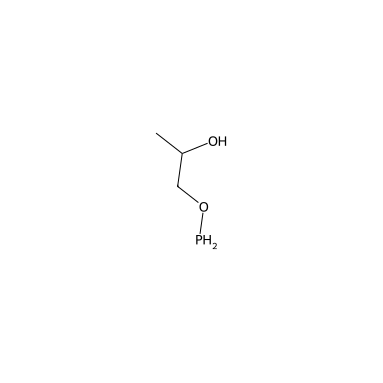 CC(O)COP